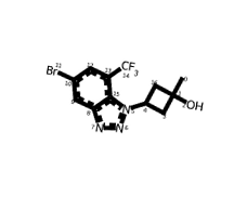 CC1(O)CC(n2nnc3cc(Br)cc(C(F)(F)F)c32)C1